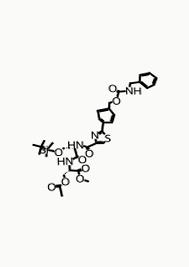 COC(=O)[C@H](COC(C)=O)NC(=O)[C@H](CO[Si](C)(C)C(C)(C)C)NC(=O)c1csc(-c2ccc(COC(=O)NCc3ccccc3)cc2)n1